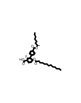 CCCCCCCCCCCCC(=O)Oc1ccc(C(=O)O)c(F)c1-c1ccc(C(=O)O[C@H](C)CCCCCC)cc1